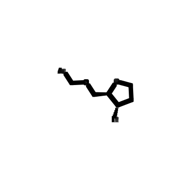 CC[C@H]1CCO[C@@H]1COCC(C)=O